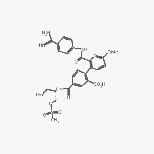 COc1ccc(-c2ccc(C(=O)N[C@H](COS(C)(=O)=O)CC(C)(C)C)cc2C(=O)O)c(C(=O)Nc2ccc(C(=N)N)cc2)n1